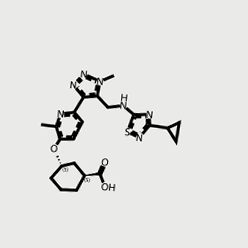 Cc1nc(-c2nnn(C)c2CNc2nc(C3CC3)ns2)ccc1O[C@H]1CCC[C@H](C(=O)O)C1